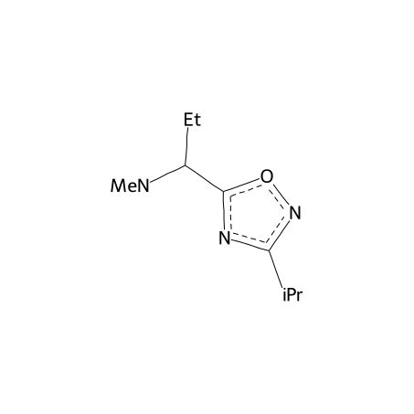 CCC(NC)c1nc(C(C)C)no1